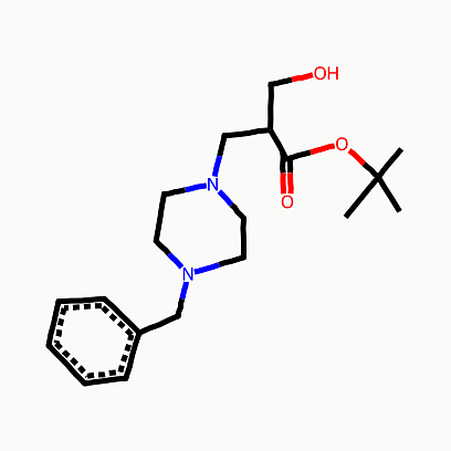 CC(C)(C)OC(=O)C(CO)CN1CCN(Cc2ccccc2)CC1